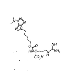 CN(C)c1ncnc2c1ncn2CCCCCOC(=O)N[C@H](CCCNC(=N)N)C(=O)O